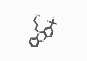 OCCCN1c2ccccc2Sc2ccc(C(F)(F)F)cc21